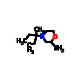 BC1CN(C(C)(CC)CC)CCO1